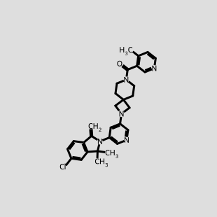 C=C1c2ccc(Cl)cc2C(C)(C)N1c1cncc(N2CC3(CCN(C(=O)c4cnccc4C)CC3)C2)c1